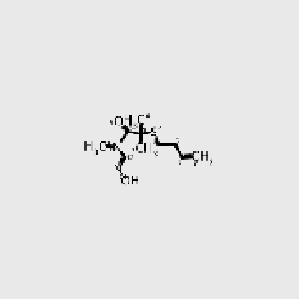 C=CCCSC(C)(C)C(=O)N(C)C=NO